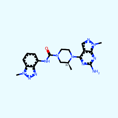 C[C@H]1CN(C(=O)Nc2cccc3c2nnn3C)CCN1c1nc(N)nc2c1cnn2C